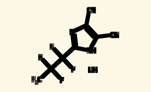 N#Cc1nc(C(F)(F)C(F)(F)C(F)(F)F)[nH]c1C#N.[LiH]